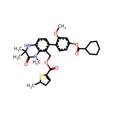 COc1cc(OC(=O)C2CCCCC2)ccc1-c1ccc2c(c1COC(=O)C1=CCC(C)S1)N(C)C(=O)C(C)(C)N2